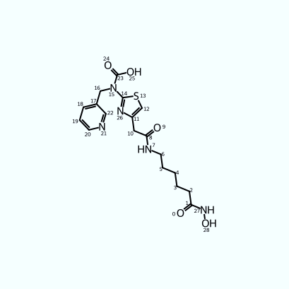 O=C(CCCCCNC(=O)Cc1csc(N(Cc2cccnc2)C(=O)O)n1)NO